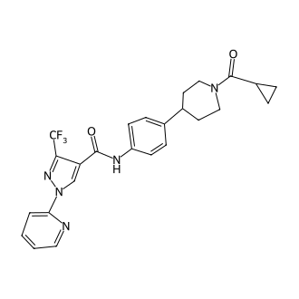 O=C(Nc1ccc(C2CCN(C(=O)C3CC3)CC2)cc1)c1cn(-c2ccccn2)nc1C(F)(F)F